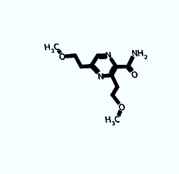 COCCc1cnc(C(N)=O)c(CCOC)n1